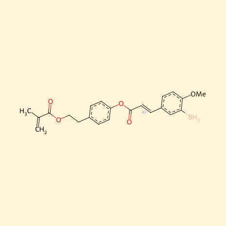 Bc1cc(/C=C/C(=O)Oc2ccc(CCOC(=O)C(=C)C)cc2)ccc1OC